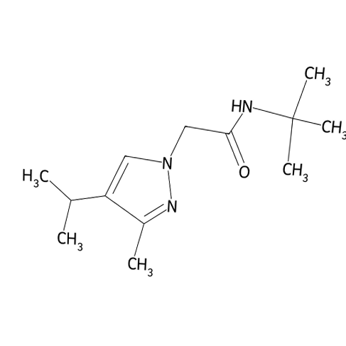 Cc1nn(CC(=O)NC(C)(C)C)cc1C(C)C